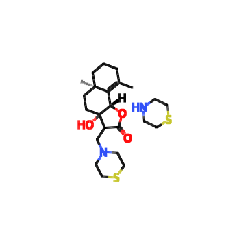 C1CSCCN1.CC1=C2[C@@H]3OC(=O)C(CN4CCSCC4)C3(O)CC[C@@]2(C)CCC1